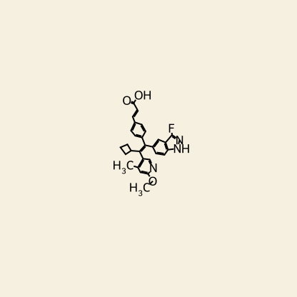 COc1cc(C)c(C(=C(c2ccc(C=CC(=O)O)cc2)c2ccc3[nH]nc(F)c3c2)C2CCC2)cn1